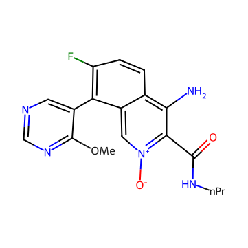 CCCNC(=O)c1c(N)c2ccc(F)c(-c3cncnc3OC)c2c[n+]1[O-]